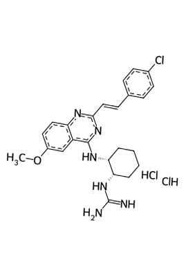 COc1ccc2nc(/C=C/c3ccc(Cl)cc3)nc(N[C@@H]3CCCC[C@@H]3NC(=N)N)c2c1.Cl.Cl